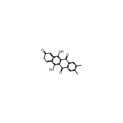 Cc1cc2c(cc1C)C(=O)c1c(c(O)c3c(c1O)=CC(=O)CC=3)C2=O